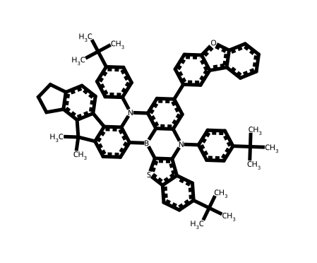 CC(C)(C)c1ccc(N2c3cc(-c4ccc5oc6ccccc6c5c4)cc4c3B(c3ccc5c(c32)-c2ccc3c(c2C5(C)C)CCC3)c2sc3ccc(C(C)(C)C)cc3c2N4c2ccc(C(C)(C)C)cc2)cc1